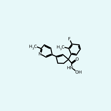 Cc1ccc(C2=CC(C(=O)NO)(c3cccc(F)c3C)CC2)cn1